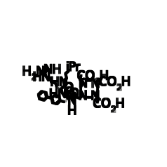 CC(C)CCCNC(=O)[C@@H](CCCCNC(=N)N)NC(=O)[C@@H](Cc1ccc(-c2ccccc2)cc1)NC(=O)CN1CCN(CC(=O)O)CCN(CC(=O)O)CCN(CC(=O)O)CC1